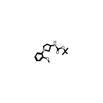 COc1ccccc1N1CCC(NC(=O)OC(C)(C)C)C1